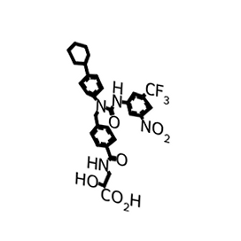 O=C(NC[C@@H](O)C(=O)O)c1ccc(CN(C(=O)Nc2cc([N+](=O)[O-])cc(C(F)(F)F)c2)c2ccc(C3CCCCC3)cc2)cc1